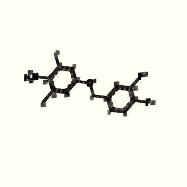 Cc1cc(OCc2ccc(F)c(F)c2)cc(C)c1N